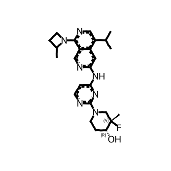 CC(C)c1cnc(N2CCC2C)c2cnc(Nc3ccnc(N4CC[C@@H](O)[C@@](C)(F)C4)n3)cc12